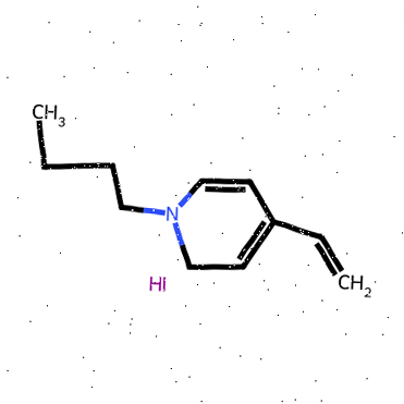 C=CC1=CCN(CCCC)C=C1.I